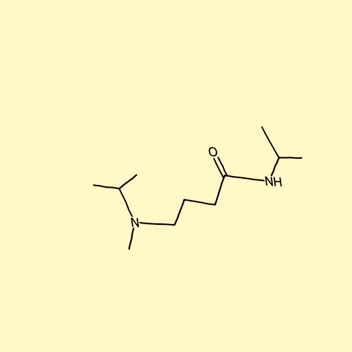 CC(C)NC(=O)CCCN(C)C(C)C